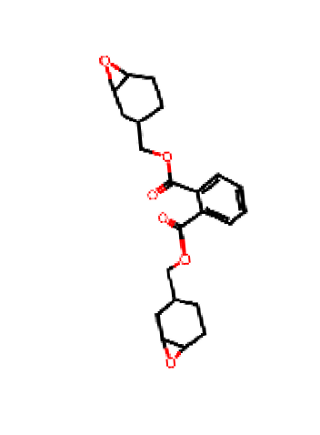 O=C(OCC1CCC2OC2C1)c1ccccc1C(=O)OCC1CCC2OC2C1